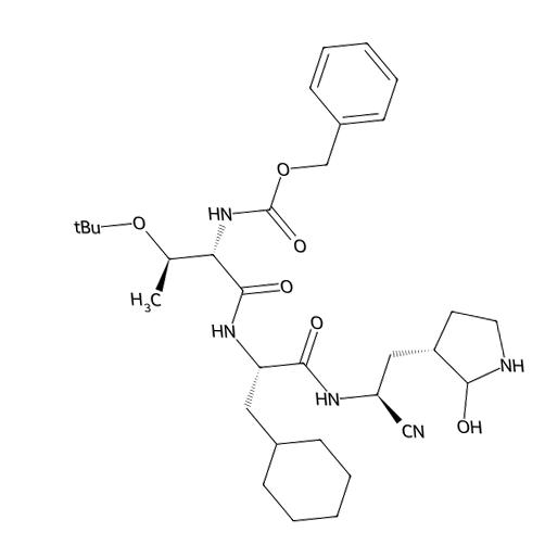 C[C@@H](OC(C)(C)C)[C@H](NC(=O)OCc1ccccc1)C(=O)N[C@@H](CC1CCCCC1)C(=O)N[C@H](C#N)C[C@@H]1CCNC1O